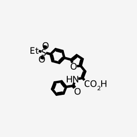 CCS(=O)(=O)c1ccc(-c2ccc(C=C(NC(=O)c3ccccc3)C(=O)O)o2)cc1